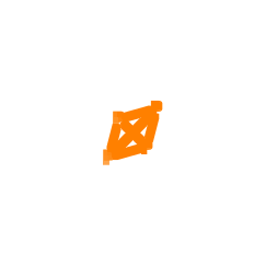 p12p3p1p23